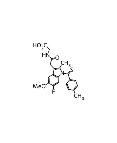 COc1cc2c(CC(=O)NCC(=O)O)c(C)n(C(=S)c3ccc(C)cc3)c2cc1F